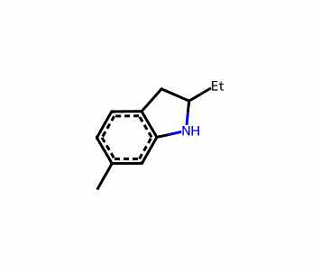 CCC1Cc2ccc(C)cc2N1